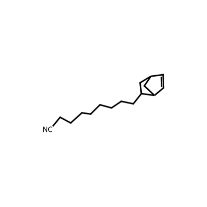 N#CCCCCCCCCC1CC2C=CC1C2